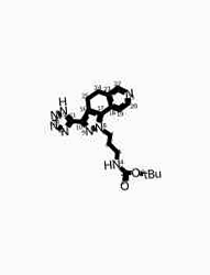 CC(C)(C)OC(=O)NCCCn1nc(-c2nnn[nH]2)c2c1-c1ccncc1CC2